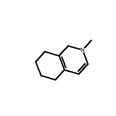 CN1C=CC2=C(CCCC2)C1